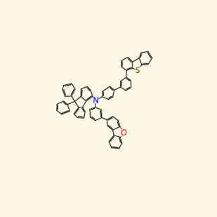 c1ccc(C2(c3ccccc3)c3ccccc3-c3c(N(c4ccc(-c5cccc(-c6cccc7c6sc6ccccc67)c5)cc4)c4cccc(-c5ccc6oc7ccccc7c6c5)c4)cccc32)cc1